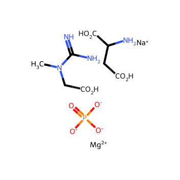 CN(CC(=O)O)C(=N)N.NC(CC(=O)O)C(=O)O.O=P([O-])([O-])[O-].[Mg+2].[Na+]